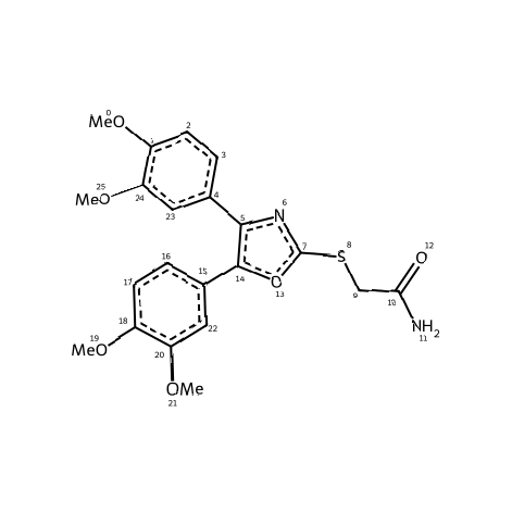 COc1ccc(-c2nc(SCC(N)=O)oc2-c2ccc(OC)c(OC)c2)cc1OC